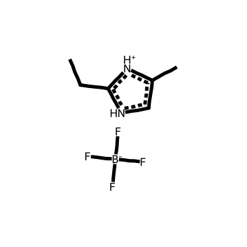 CCc1[nH]cc(C)[nH+]1.F[B-](F)(F)F